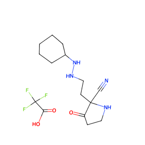 N#CC1(CCNNC2CCCCC2)NCCC1=O.O=C(O)C(F)(F)F